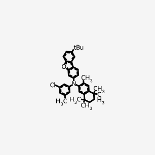 Cc1cc(Cl)cc(N(c2ccc3c(c2)oc2ccc(C(C)(C)C)cc23)c2cc3c(cc2C)C(C)(C)CCC3(C)C)c1